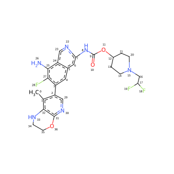 Cc1c(-c2cc3cc(NC(=O)OC4CCN(CC(F)F)CC4)ncc3c(N)c2F)cnc2c1NCCO2